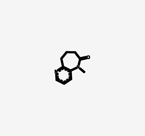 CN1C(=O)CCCc2ncccc21